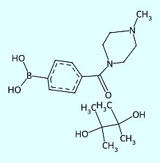 CC(C)(O)C(C)(C)O.CN1CCN(C(=O)c2ccc(B(O)O)cc2)CC1